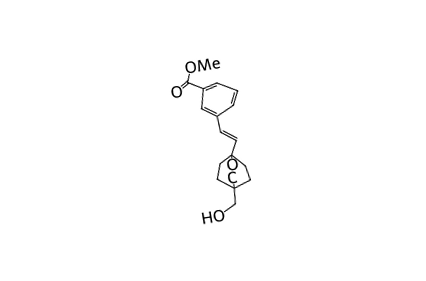 COC(=O)c1cccc(C=CC23CCC(CO)(CC2)CO3)c1